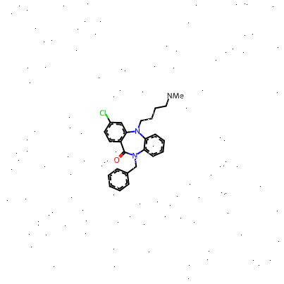 CNCCCCN1c2cc(Cl)ccc2C(=O)N(Cc2ccccc2)c2ccccc21